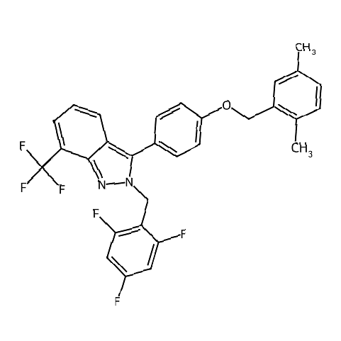 Cc1ccc(C)c(COc2ccc(-c3c4cccc(C(F)(F)F)c4nn3Cc3c(F)cc(F)cc3F)cc2)c1